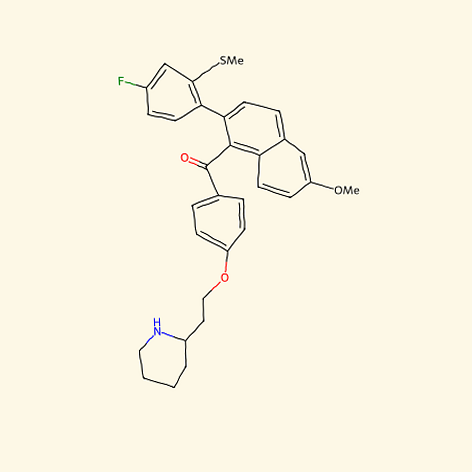 COc1ccc2c(C(=O)c3ccc(OCCC4CCCCN4)cc3)c(-c3ccc(F)cc3SC)ccc2c1